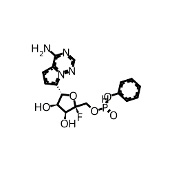 Nc1ncnn2c([C@@H]3O[C@](F)(CO[PH](=O)Oc4ccccc4)[C@@H](O)[C@H]3O)ccc12